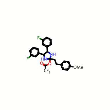 COc1ccc(CCC2(OC(=O)C(F)(F)F)NC(c3cccc(F)c3)C(c3cccc(F)c3)N2)cc1